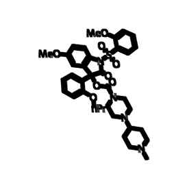 CCCOc1ccccc1C1(OC(=O)N2CCN(C3CCN(C)CC3)CC2)C(=O)N(S(=O)(=O)c2ccccc2OC)c2ccc(OC)cc21